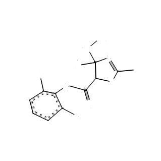 CC1=NC(OC(F)(F)F)(C(F)(F)F)C(C(=O)Nc2c(Br)cccc2Br)S1